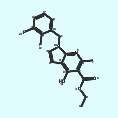 CCOC(=O)c1c(C)nc2c(ccn2Cc2cccc(F)c2F)c1O